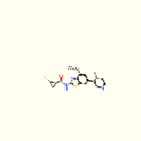 COc1cc(-c2cnccc2C)cc2sc(NC(=O)C3CC3F)nc12